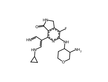 N=C/C(=C\NC1CC1)c1nc(NC2CCOCC2N)c(F)c2c1C(=O)NC2